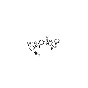 NCc1ccc(CO)cc1NC(=O)c1ccc(Nc2ncc(C(F)(F)F)c(-c3ccccc3)n2)cc1